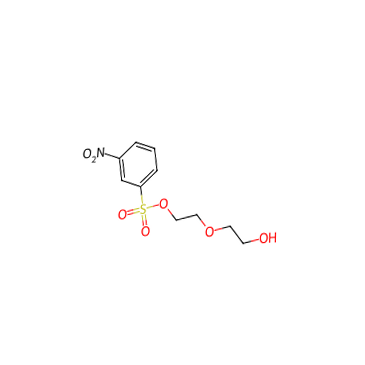 O=[N+]([O-])c1cccc(S(=O)(=O)OCCOCCO)c1